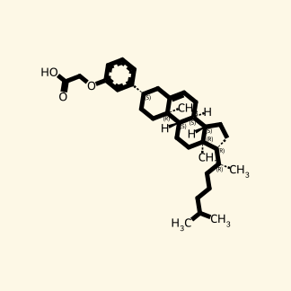 CC(C)CCC[C@@H](C)[C@H]1CC[C@H]2[C@@H]3CC=C4C[C@@H](c5cccc(OCC(=O)O)c5)CC[C@]4(C)[C@H]3CC[C@]12C